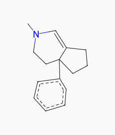 CN1C=C2CCCC2(c2ccccc2)CC1